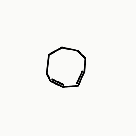 C1=C\CCCCC\C=C/1